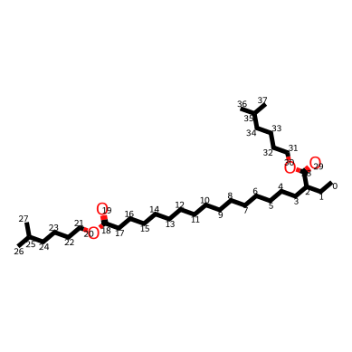 CCC(CCCCCCCCCCCCCCCC(=O)OCCCCC(C)C)C(=O)OCCCCC(C)C